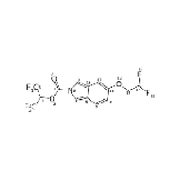 O=C(OC(C(F)(F)F)C(F)(F)F)n1cc2ccc(OCC(F)F)cc2c1